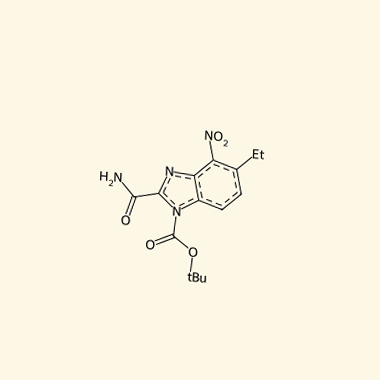 CCc1ccc2c(nc(C(N)=O)n2C(=O)OC(C)(C)C)c1[N+](=O)[O-]